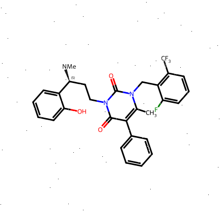 CN[C@@H](CCn1c(=O)c(-c2ccccc2)c(C)n(Cc2c(F)cccc2C(F)(F)F)c1=O)c1ccccc1O